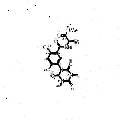 CCC(NC(=O)c1cc(-n2c(=O)n(C)c(=S)n(C)c2=O)c(F)cc1Cl)C(=O)OC